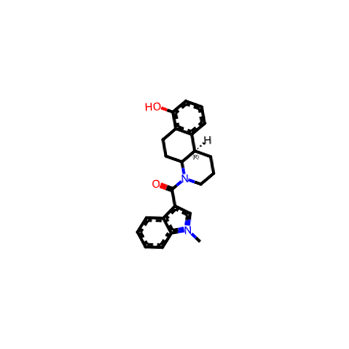 Cn1cc(C(=O)N2CCC[C@@H]3c4cccc(O)c4CCC32)c2ccccc21